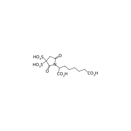 O=C(O)CCCCCC(C(=O)O)N1C(=O)CC(S(=O)(=O)O)(S(=O)(=O)O)C1=O